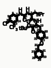 CC(C)CC(NC(=O)Nc1ccc(Cl)c(C(F)(F)F)c1)C(=O)NC(Cc1ccc(OCc2ccccc2)cc1)C(=O)OC(C)(C)C